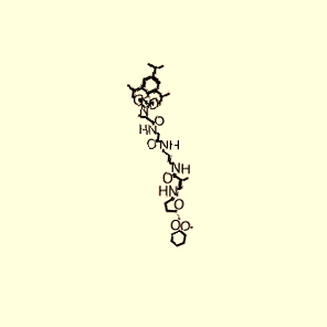 COC1(OC[C@@H]2CCC(N/C=C(/C)C(=O)NCCCNC(=O)CNC(=O)C3CN3S(=O)(=O)c3c(C(C)C)cc(C(C)C)cc3C(C)C)O2)CCCCC1